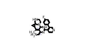 C/C(=C1\C(=C/N)N=C(c2ccncc2-c2ccc(F)cc2)NC1N1CCNCC1)C1CC1